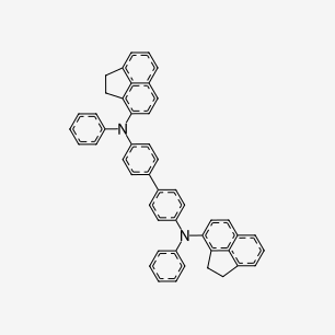 c1ccc(N(c2ccc(-c3ccc(N(c4ccccc4)c4ccc5cccc6c5c4CC6)cc3)cc2)c2ccc3cccc4c3c2CC4)cc1